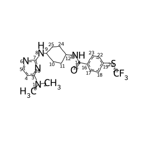 CN(C)c1ccnc(NC2CCC(NC(=O)c3ccc(SC(F)(F)F)cc3)CC2)n1